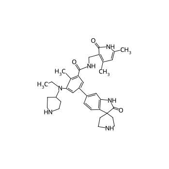 CCN(c1cc(-c2ccc3c(c2)NC(=O)C32CCNCC2)cc(C(=O)NCc2c(C)cc(C)[nH]c2=O)c1C)C1CCNCC1